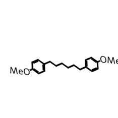 COc1ccc(CCCCCCc2ccc(OC)cc2)cc1